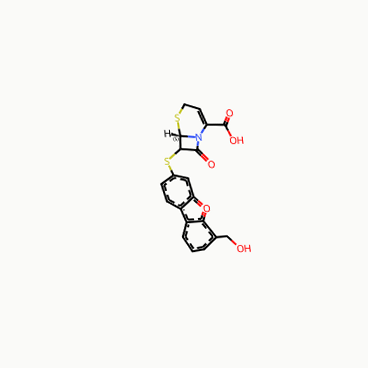 O=C(O)C1=CCS[C@H]2C(Sc3ccc4c(c3)oc3c(CO)cccc34)C(=O)N12